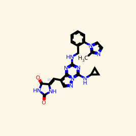 Cc1nccn1-c1ccccc1CNc1nc(NC2CC2)n2ncc(/C=C3\NC(=O)NC3=O)c2n1